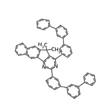 CC1(C)c2cc3ccccc3cc2-c2nc(-c3cccc(-c4cccc(-c5ccccc5)c4)c3)nc(-c3cccc(-c4cccc(-c5ccccc5)c4)c3)c21